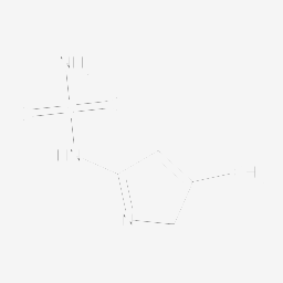 CC1=CC(NS(N)(=O)=O)=NC1